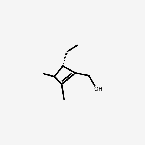 CC[C@@H]1C(CO)=C(C)C1C